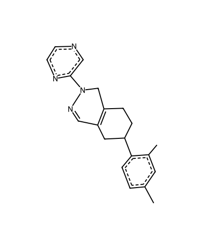 Cc1ccc(C2CCC3=C(C=NN(c4cnccn4)C3)C2)c(C)c1